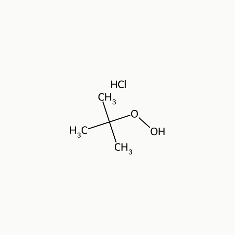 CC(C)(C)OO.Cl